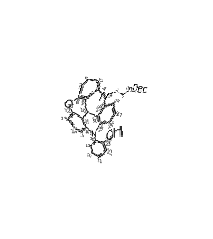 CCCCCCCCCCCCN1c2cccc3c2C2c4c(cccc4N(c4ccccc4O)c4cccc1c42)O3